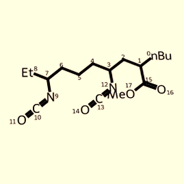 CCCCC(CC(CCCC(CC)N=C=O)N=C=O)C(=O)OC